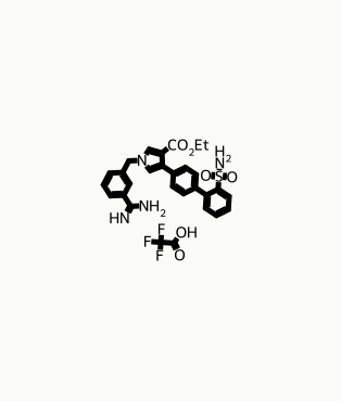 CCOC(=O)c1cn(Cc2cccc(C(=N)N)c2)cc1-c1ccc(-c2ccccc2S(N)(=O)=O)cc1.O=C(O)C(F)(F)F